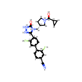 N#Cc1ccc(-c2ccc(-c3n[nH]c(=O)n3C[C@@H]3CCN(C(=O)C4CC4)C3)c(F)c2)c(F)c1